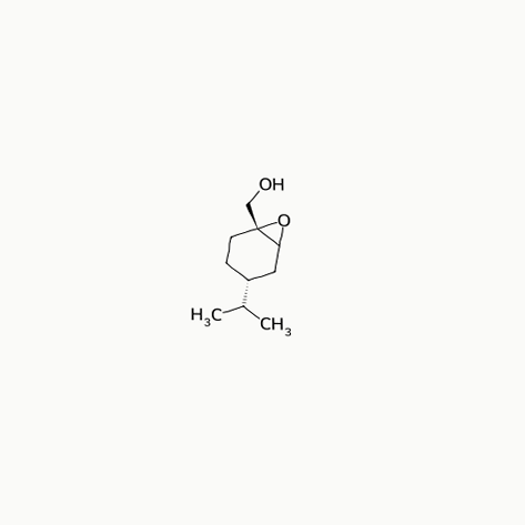 CC(C)[C@@H]1CC[C@]2(CO)OC2C1